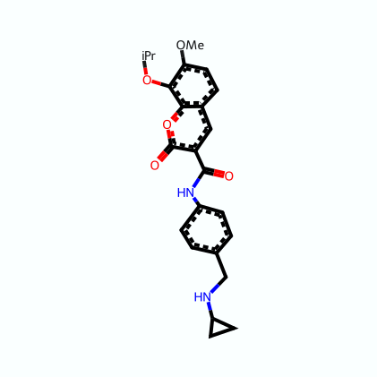 COc1ccc2cc(C(=O)Nc3ccc(CNC4CC4)cc3)c(=O)oc2c1OC(C)C